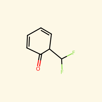 O=C1C=CC=CC1C(F)F